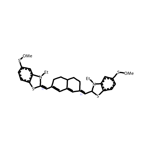 CCN1/C(=C\C2=CC3=C/C(=C/C4Sc5ccc(SOC)cc5N4CC)CCC3CC2)Sc2ccc(SOC)cc21